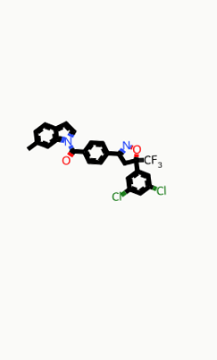 Cc1ccc2ccn(C(=O)c3ccc(C4=NOC(c5cc(Cl)cc(Cl)c5)(C(F)(F)F)C4)cc3)c2c1